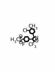 Cc1ccc(-c2noc(C(F)(F)F)c2-c2ccc(S(C)(=O)=O)c(F)c2)cc1Cl